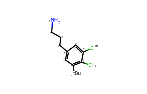 CC(C)(C)c1cc(CCCN)cc(Cl)c1Cl